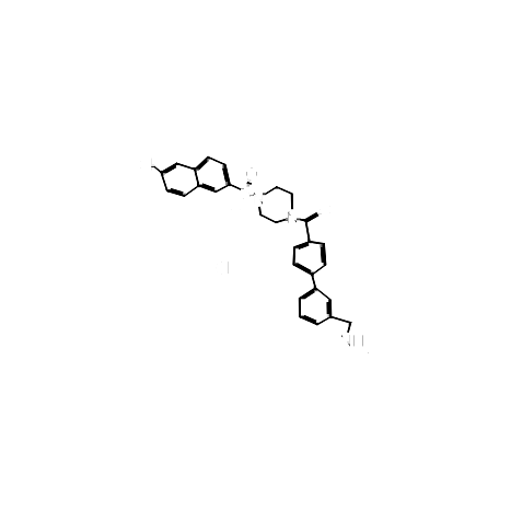 Cl.NCc1cccc(-c2ccc(C(=O)N3CCN(S(=O)(=O)c4ccc5cc(Cl)ccc5c4)CC3)cc2)c1